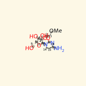 COCCO[C@@]1(O)[C@H](O)[C@@H](CO)O[C@H]1n1ccc(N)nc1=O